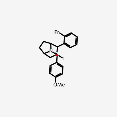 COc1ccc(CN2C3CCC2C(c2ccccc2C(C)C)N(I)C3)cc1